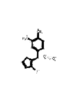 Cc1ccc(CC2=[C]([Ti+3])C=CC2)cc1C.[Cl-].[Cl-].[Cl-]